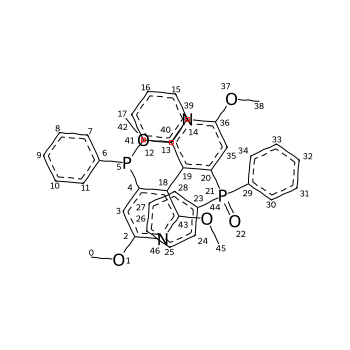 COc1cc(P(c2ccccc2)c2ccccc2)c(-c2c(P(=O)(c3ccccc3)c3ccccc3)cc(OC)nc2OC)c(OC)n1